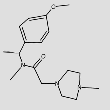 COc1ccc([C@@H](C)N(C)C(=O)CN2CCN(C)CC2)cc1